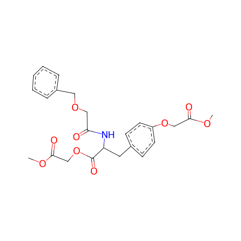 COC(=O)COC(=O)C(Cc1ccc(OCC(=O)OC)cc1)NC(=O)COCc1ccccc1